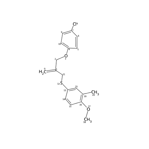 C=C(COc1ccc(Cl)cc1)CSc1ccc(OC)c(C)c1